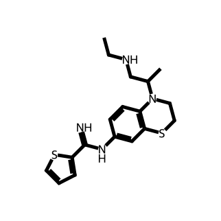 CCNCC(C)N1CCSc2cc(NC(=N)c3cccs3)ccc21